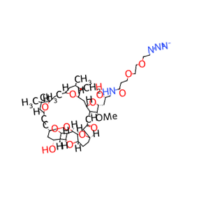 C=C1[C@H](C)C[C@@H]2CC[C@@H]3O[C@@H](CC[C@]45C[C@@H](O)[C@@H]6C(O4)[C@@H]4[C@H]6O[C@H]6CC[C@H](CC(=O)C[C@@H]7[C@@H](OC)[C@@H](C[C@H](O)CNC(=O)CCOCCOCCN=[N+]=[N-])O[C@H]7C[C@H]1O2)O[C@@H]6[C@@H]4O5)CC3(C)C